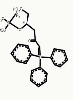 CC(C)(C)[Si](C)(C)O[C@@H](CC(=O)O)CC(=O)C=P(c1ccccc1)(c1ccccc1)c1ccccc1